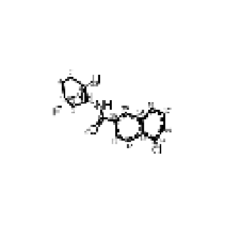 O=C(N[C@@H]1C[C@H]2CC[C@@H]1N2)c1ccc2c(Cl)cccc2c1